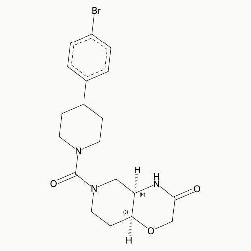 O=C1CO[C@H]2CCN(C(=O)N3CCC(c4ccc(Br)cc4)CC3)C[C@H]2N1